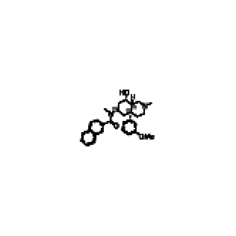 COc1cccc([C@@]23CCN(C)C[C@H]2C(O)C[C@@H](N(C)C(=O)c2ccc4ccccc4c2)C3)c1